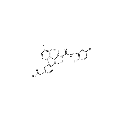 CCOc1ccc(CC(=O)O)cc1-c1ccc(F)c2c1CN(OC(=O)OCc1cc(F)ccc1F)CC2